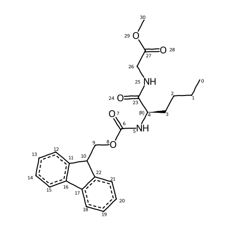 CCCC[C@@H](NC(=O)OCC1c2ccccc2-c2ccccc21)C(=O)NCC(=O)OC